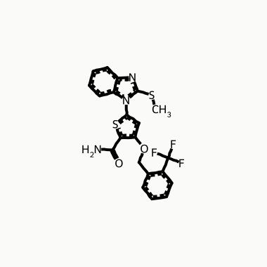 CSc1nc2ccccc2n1-c1cc(OCc2ccccc2C(F)(F)F)c(C(N)=O)s1